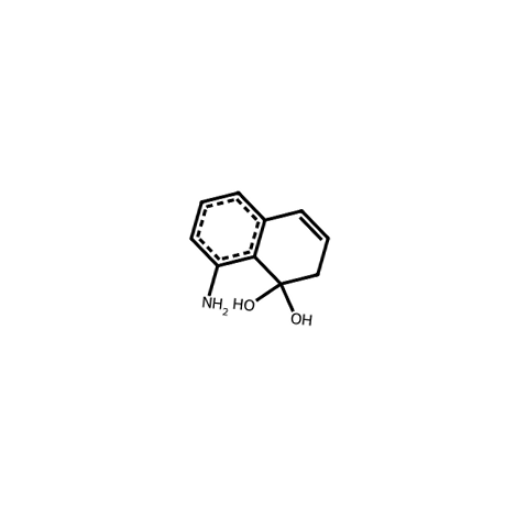 Nc1cccc2c1C(O)(O)CC=C2